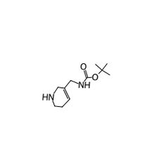 CC(C)(C)OC(=O)NCC1=CCCNC1